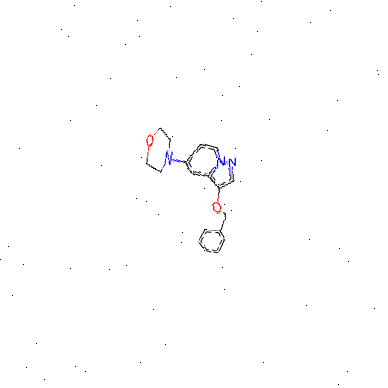 c1ccc(COc2cnn3ccc(N4CCOCC4)cc23)cc1